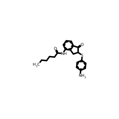 CCCCCC(=O)Nc1cccc2c1CC(Sc1ccc(N)cc1)C2=O